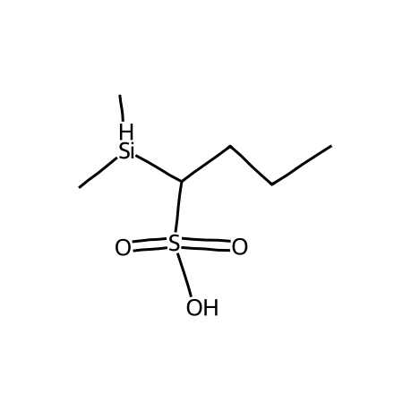 CCCC([SiH](C)C)S(=O)(=O)O